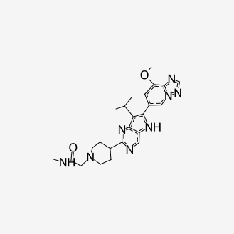 CNC(=O)CN1CCC(c2ncc3[nH]c(-c4cc(OC)c5ncnn5c4)c(C(C)C)c3n2)CC1